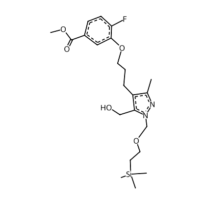 COC(=O)c1ccc(F)c(OCCCc2c(C)nn(COCC[Si](C)(C)C)c2CO)c1